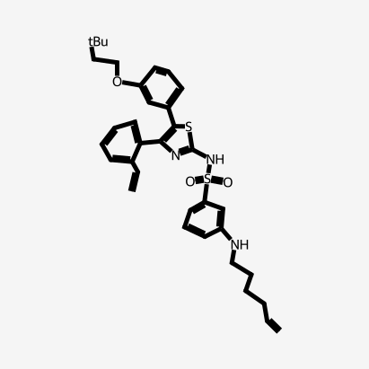 C=CCCCCNc1cccc(S(=O)(=O)Nc2nc(-c3ccccc3C=C)c(-c3cccc(OCCC(C)(C)C)c3)s2)c1